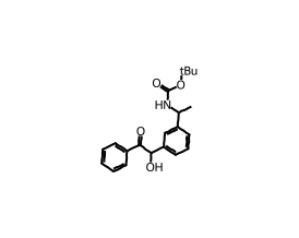 CC(NC(=O)OC(C)(C)C)c1cccc(C(O)C(=O)c2ccccc2)c1